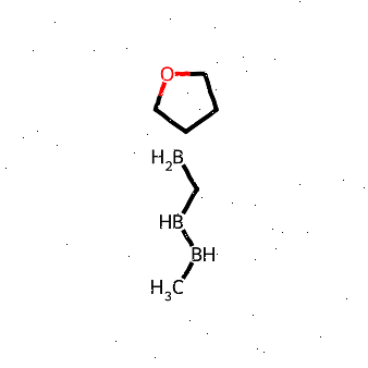 BCBBC.C1CCOC1